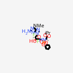 CNc1nc(N)nc2c1ncn2[C@@H]1O[C@](F)(CO[P@@](=O)(N[C@@H](C)C(=O)OC(C)C)Oc2ccccc2)[C@@H](O)[C@@]1(C)F